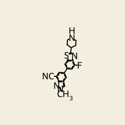 Cn1cc2cc(-c3cc(F)c4nc(C5CCNCC5)sc4c3)cc(C#N)c2n1